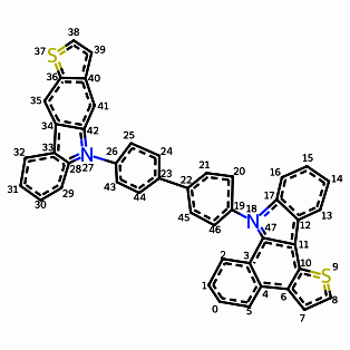 c1ccc2c(c1)c1ccsc1c1c3ccccc3n(-c3ccc(-c4ccc(-n5c6ccccc6c6cc7sccc7cc65)cc4)cc3)c21